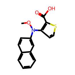 CON(c1ccc2ccccc2c1)c1ccsc1C(=O)O